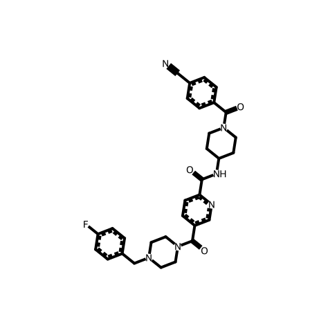 N#Cc1ccc(C(=O)N2CCC(NC(=O)c3ccc(C(=O)N4CCN(Cc5ccc(F)cc5)CC4)cn3)CC2)cc1